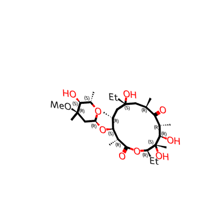 CC[C@H]1OC(=O)[C@H](C)[C@@H](O[C@H]2C[C@@](C)(OC)[C@@H](O)[C@H](C)O2)[C@H](C)C[C@@](O)(CC)C[C@@H](C)C(=O)[C@H](C)[C@@H](O)[C@]1(C)O